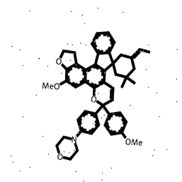 C/C=C1\CC(C)(C)CC2(C1)c1ccccc1-c1c2c2c(c3cc(OC)c4c(c13)CCO4)OC(c1ccc(OC)cc1)(c1ccc(N3CCOCC3)cc1)C=C2